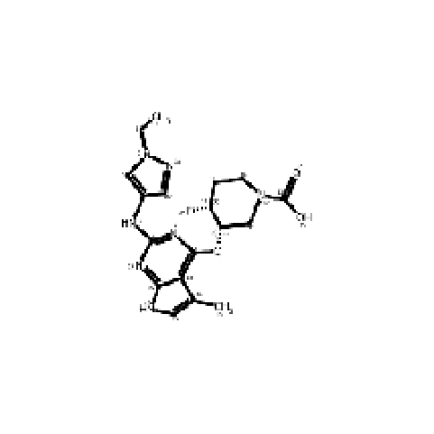 CCn1cc(Nc2nc(O[C@H]3CN(C(=O)O)CC[C@H]3F)c3c(C)c[nH]c3n2)cn1